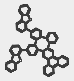 c1ccc2c(c1)-c1ccc(-c3cccc4c3oc3ccccc34)cc1-c1cc(-c3cccc4c3oc3ccccc34)ccc1-c1cc3c4ccccc4c4ccccc4c3cc1-2